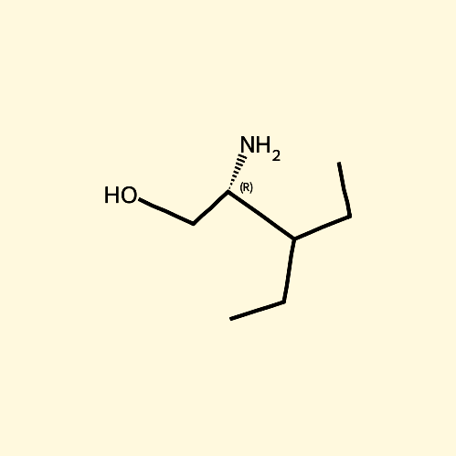 CCC(CC)[C@@H](N)CO